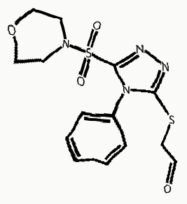 O=CCSc1nnc(S(=O)(=O)N2CCOCC2)n1-c1ccccc1